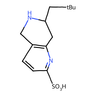 CC(C)(C)CC1Cc2nc(S(=O)(=O)O)ccc2CN1